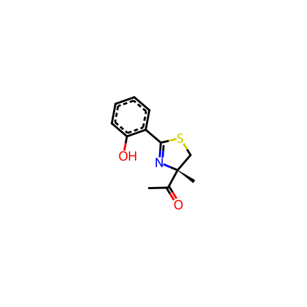 CC(=O)[C@@]1(C)CSC(c2ccccc2O)=N1